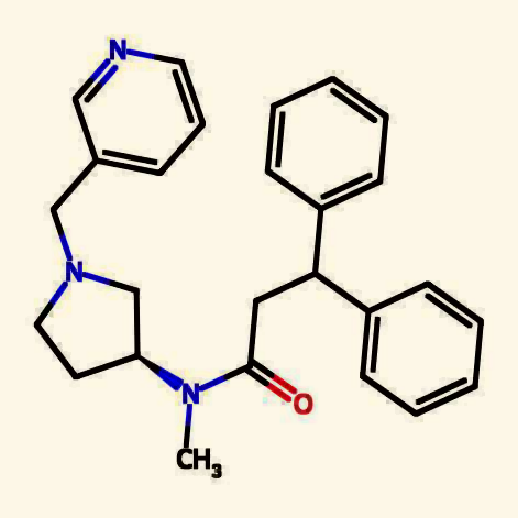 CN(C(=O)CC(c1ccccc1)c1ccccc1)[C@H]1CCN(Cc2cccnc2)C1